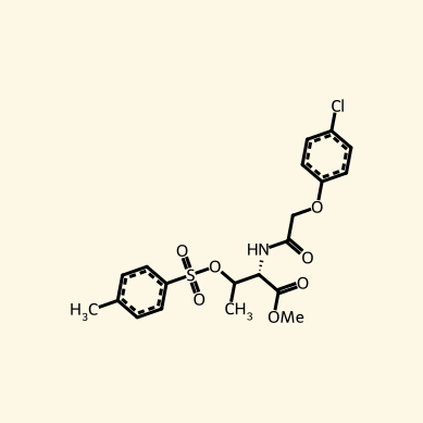 COC(=O)[C@@H](NC(=O)COc1ccc(Cl)cc1)C(C)OS(=O)(=O)c1ccc(C)cc1